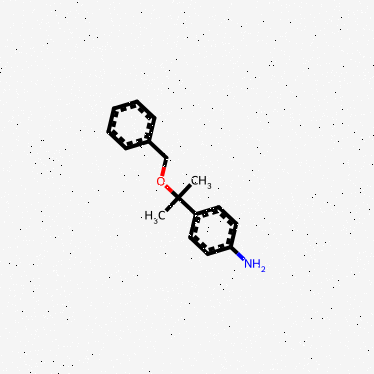 CC(C)(OCc1ccccc1)c1ccc(N)cc1